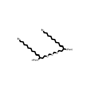 CCCCCC(C=CCCCCCCCCBr)CCOCOCOCCC(C=CCCCCCCCCBr)CCCCC